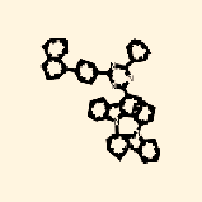 c1ccc(-c2nc(-c3ccc(-c4cccc5ccccc45)cc3)nc(-c3cccc4c3c3ccccc3n4-c3cccc4c5ccccc5n(-c5ccccc5)c34)n2)cc1